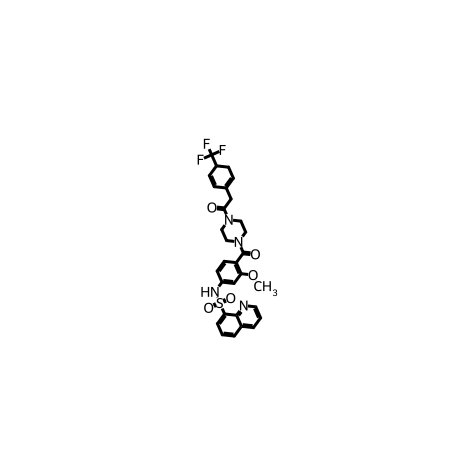 COc1cc(NS(=O)(=O)c2cccc3cccnc23)ccc1C(=O)N1CCN(C(=O)CC2=CCC(C(F)(F)F)C=C2)CC1